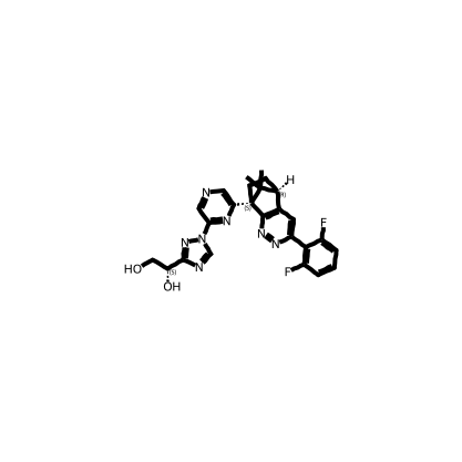 CC1(C)[C@H]2CC[C@]1(c1cncc(-n3cnc([C@H](O)CO)n3)n1)c1nnc(-c3c(F)cccc3F)cc12